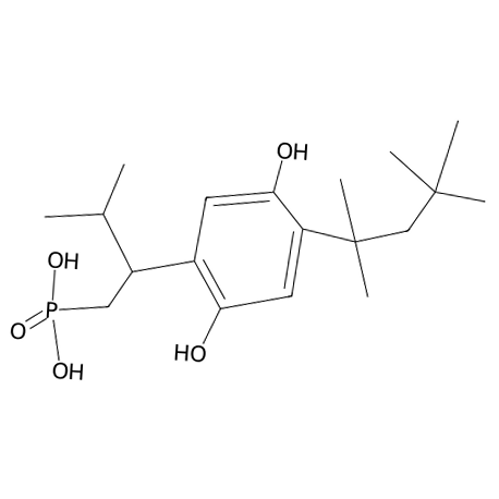 CC(C)C(CP(=O)(O)O)c1cc(O)c(C(C)(C)CC(C)(C)C)cc1O